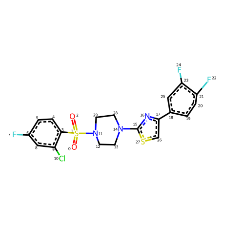 O=S(=O)(c1ccc(F)cc1Cl)N1CCN(c2nc(-c3ccc(F)c(F)c3)cs2)CC1